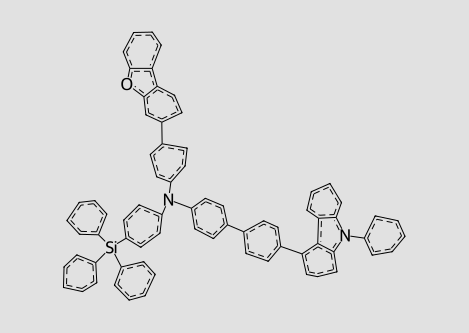 c1ccc(-n2c3ccccc3c3c(-c4ccc(-c5ccc(N(c6ccc(-c7ccc8c(c7)oc7ccccc78)cc6)c6ccc([Si](c7ccccc7)(c7ccccc7)c7ccccc7)cc6)cc5)cc4)cccc32)cc1